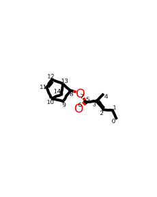 CC/C=C(\C)C(=O)OC1CC2C=CC1C2